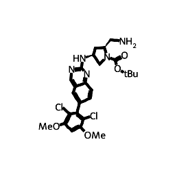 COc1cc(OC)c(Cl)c(-c2ccc3nc(N[C@H]4C[C@@H](CN)N(C(=O)OC(C)(C)C)C4)ncc3c2)c1Cl